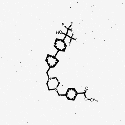 COC(=O)c1ccc(CN2CCN(Cc3ccc(-c4ccc(C(O)(C(F)(F)F)C(F)(F)F)cc4)cc3)CC2)cc1